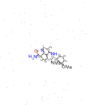 CNC[C@@H](Nc1c(C)cnc2c(C(N)=O)cccc12)c1cccc(OC)c1